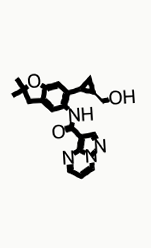 CC1(C)Cc2cc(NC(=O)c3cnn4cccnc34)c(C3C[C@H]3CO)cc2O1